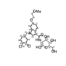 COCCOc1ccc2c(C(=O)N[C@H]3C(O)OC(CO)[C@@H](O)C3O)cn(Cc3ccc(Cl)c(Cl)c3)c2c1